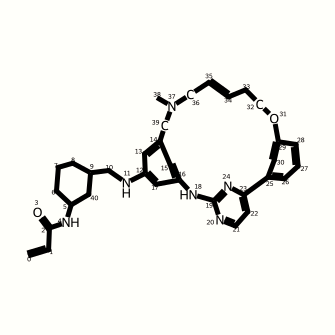 C=CC(=O)NC1CCCC(CNc2cc3cc(c2)Nc2nccc(n2)-c2cccc(c2)OCC/C=C/CN(C)C3)C1